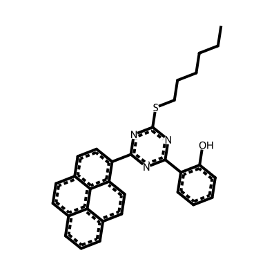 CCCCCCSc1nc(-c2ccccc2O)nc(-c2ccc3ccc4cccc5ccc2c3c45)n1